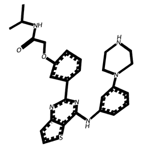 CC(C)NC(=O)COc1cccc(-c2nc(Nc3cccc(N4CCNCC4)c3)c3sccc3n2)c1